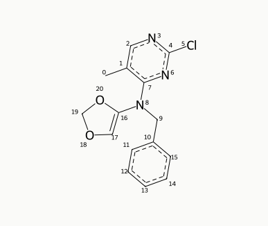 Cc1cnc(Cl)nc1N(Cc1ccccc1)C1=COCO1